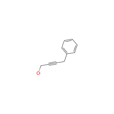 [O]CC#CCc1ccccc1